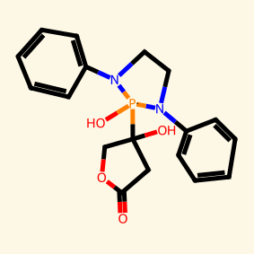 O=C1CC(O)([P]2(O)N(c3ccccc3)CCN2c2ccccc2)CO1